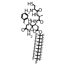 C[C@H](NC(=O)[C@@H](N)CS)C(=O)N[C@@H](CC(=O)OC(F)(F)C(F)(F)C(F)(F)C(F)(F)C(F)(F)C(F)(F)C(F)(F)C(F)(F)F)C(=O)N[C@@H](Cc1ccccc1)C(N)=O